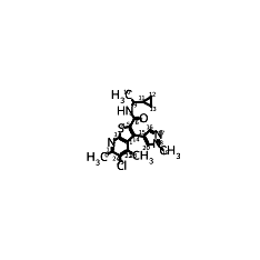 Cc1nc2sc(C(=O)NC(C)C3CC3)c(-c3cnn(C)c3)c2c(C)c1Cl